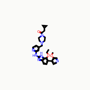 CCOc1c(-c2ccncc2OC)ccc2nc(Nc3cc(CN4CCN(C(=O)CC5CC5)CC4)ccn3)[nH]c12